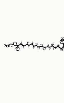 CCCCCOC(=O)CCCCCCCCCCCCCCCCC(CC)C(=O)OCCCCC